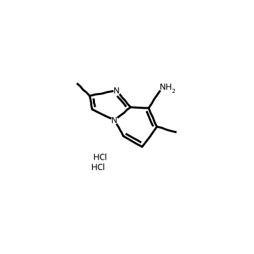 Cc1cn2ccc(C)c(N)c2n1.Cl.Cl